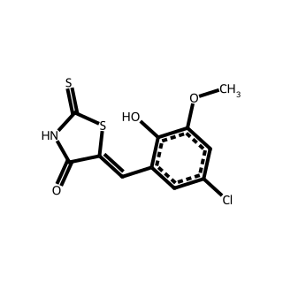 COc1cc(Cl)cc(/C=C2\SC(=S)NC2=O)c1O